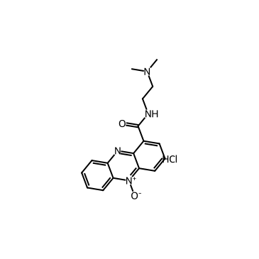 CN(C)CCNC(=O)c1cccc2c1nc1ccccc1[n+]2[O-].Cl